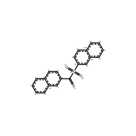 O=C(c1ccc2ccccc2c1)S(=O)(=O)c1ccc2ccccc2c1